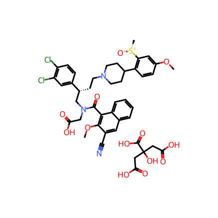 COc1ccc(C2CCN(CC[C@H](CN(CC(=O)O)C(=O)c3c(OC)c(C#N)cc4ccccc34)c3ccc(Cl)c(Cl)c3)CC2)c([S@+](C)[O-])c1.O=C(O)CC(O)(CC(=O)O)C(=O)O